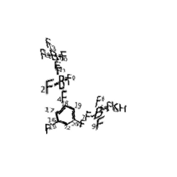 F[B-](F)(F)F.F[B-](F)(F)F.F[B-](F)(F)F.Fc1cccc(F)c1.[KH]